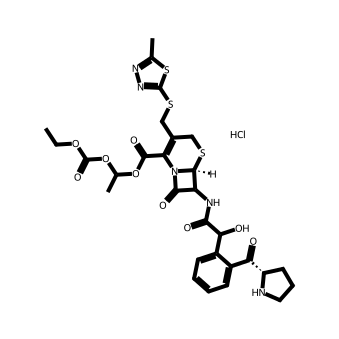 CCOC(=O)OC(C)OC(=O)C1=C(CSc2nnc(C)s2)CS[C@H]2C(NC(=O)C(O)c3ccccc3C(=O)[C@@H]3CCCN3)C(=O)N12.Cl